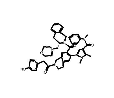 Cc1c(C(=O)N(C)c2ccccc2)cc(-c2cc3c(cc2C(=O)N2Cc4ccccc4C[C@H]2CN2CCOCC2)CN(C(=O)Cc2ccc(C#N)cc2)CC3)n1C